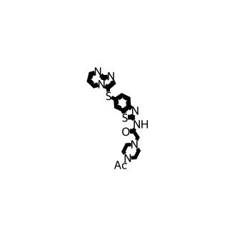 CC(=O)N1CCN(CC(=O)Nc2nc3ccc(Sc4cnc5ncccn45)cc3s2)CC1